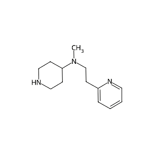 CN(CCc1ccccn1)C1CCNCC1